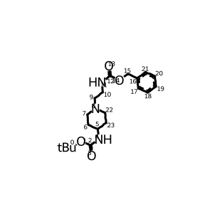 CC(C)(C)OC(=O)NC1CCN(CCNC(=O)OCc2ccccc2)CC1